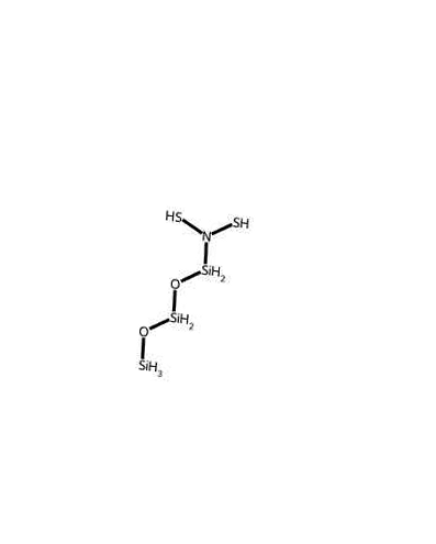 [SiH3]O[SiH2]O[SiH2]N(S)S